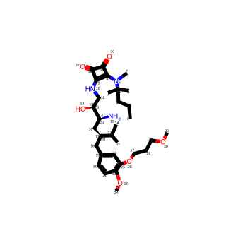 CCCC(C)(C)N(C)c1c(NC[C@H](O)[C@@H](N)C[C@H](Cc2ccc(OC)c(OCCCOC)c2)C(C)C)c(=O)c1=O